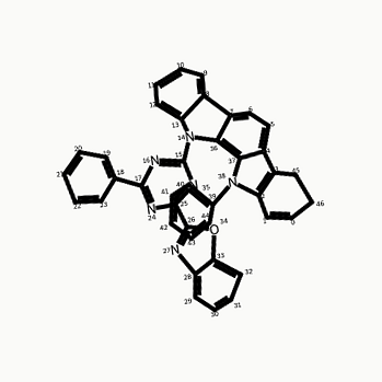 C1=Cc2c(c3ccc4c5ccccc5n(-c5nc(-c6ccccc6)nc(-c6nc7ccccc7o6)n5)c4c3n2-c2ccccc2)CC1